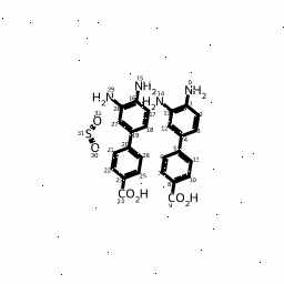 Nc1ccc(-c2ccc(C(=O)O)cc2)cc1N.Nc1ccc(-c2ccc(C(=O)O)cc2)cc1N.O=S=O